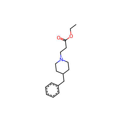 CCOC(=O)CCN1CCC(Cc2ccccc2)CC1